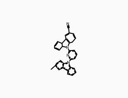 Cc1ccc2c(c1)c1ccccc1n2-c1cccc(N2C3=C(C=C(C#N)C=CC3)C3C=CC=CC32)n1